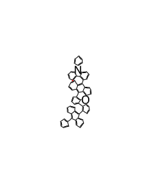 c1ccc(-c2c3ccccc3c(-c3cccc4oc5c(-c6c7ccccc7c(-c7cccc8c7c7ccccc7n8-c7ccccc7)c7ccccc67)cccc5c34)c3ccccc23)cc1